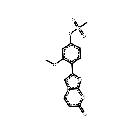 COc1cc(OS(C)(=O)=O)ccc1-c1cn2ccc(=O)[nH]c2n1